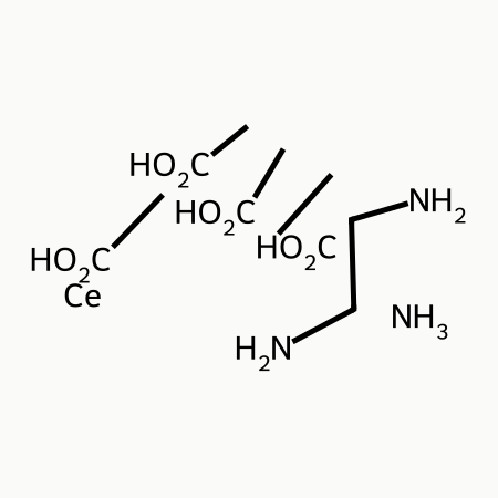 CC(=O)O.CC(=O)O.CC(=O)O.CC(=O)O.N.NCCN.[Ce]